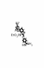 CCOC(=O)Cn1c(COc2ccc(C(=N)N)cc2)nc2ccc(N(CCN(C)C)S(C)(=O)=O)cc21